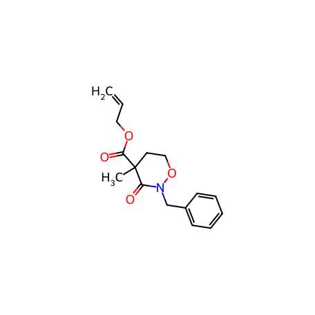 C=CCOC(=O)C1(C)CCON(Cc2ccccc2)C1=O